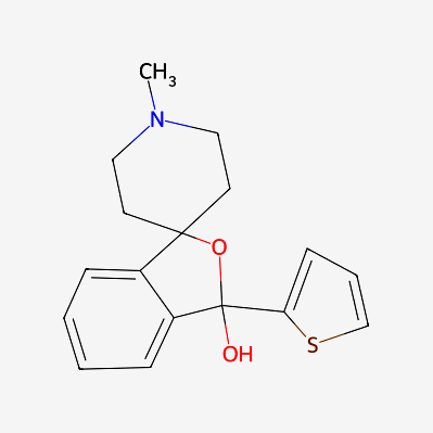 CN1CCC2(CC1)OC(O)(c1cccs1)c1ccccc12